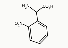 NC(C(=O)O)c1ccccc1[N+](=O)[O-]